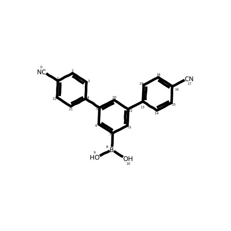 N#Cc1ccc(-c2cc(B(O)O)cc(-c3ccc(C#N)cc3)c2)cc1